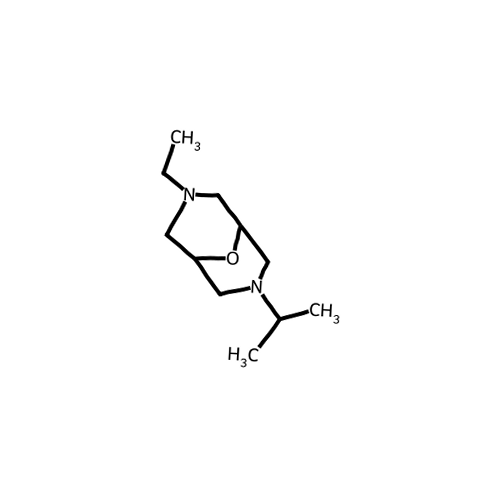 CCN1CC2CN(C(C)C)CC(C1)O2